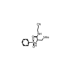 CSCC(NS(=O)(=O)c1ccccc1)C(=O)NCCC#N